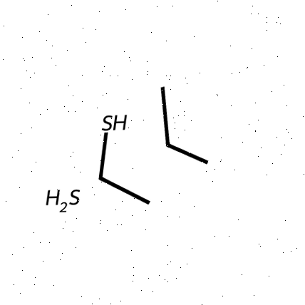 CCC.CCS.S